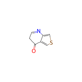 O=C1CC=Nc2cscc21